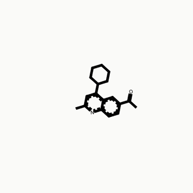 CC(=O)c1ccc2nc(C)cc(C3CCCCC3)c2c1